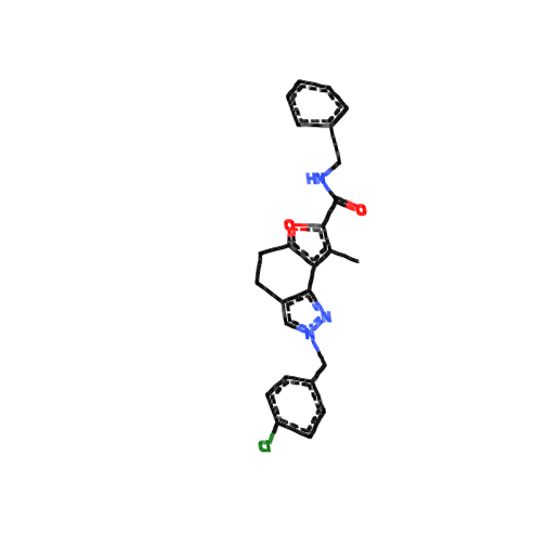 Cc1c(C(=O)NCc2ccccc2)oc2c1-c1nn(Cc3ccc(Cl)cc3)cc1CC2